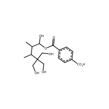 CC(C(O)OC(=O)c1ccc(C(=O)O)cc1)C(C)C(CO)(CO)CO